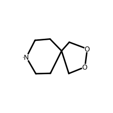 C1CC2(CC[N]1)COOC2